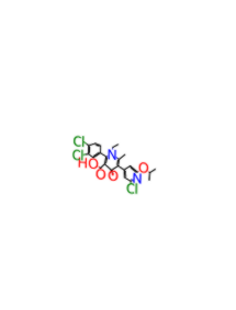 CCn1c(C)c(-c2cc(Cl)nc(OC(C)C)c2)c(=O)c(C(=O)O)c1-c1ccc(Cl)c(Cl)c1